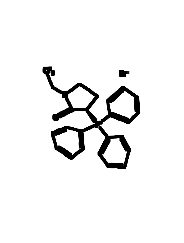 O=C1[C@H]([P+](c2ccccc2)(c2ccccc2)c2ccccc2)CCN1CC(F)(F)F.[Br-]